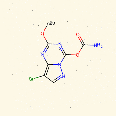 CCCCOc1nc(OC(N)=O)n2ncc(Br)c2n1